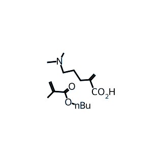 C=C(C)C(=O)OCCCC.C=C(CCCN(C)C)C(=O)O